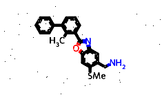 CSc1cc2oc(-c3cccc(-c4ccccc4)c3C)nc2cc1CN